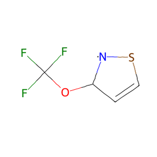 FC(F)(F)OC1C=CS[N]1